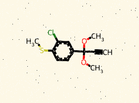 C#CC(OC)(OC)c1ccc(SC)c(Cl)c1